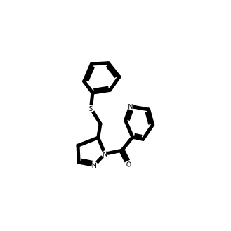 O=C(c1cccnc1)N1N=CCC1CSc1ccccc1